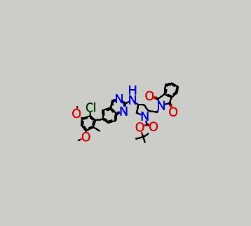 COc1cc(OC)c(Cl)c(-c2ccc3nc(NC4CC(CN5C(=O)c6ccccc6C5=O)N(C(=O)OC(C)(C)C)C4)ncc3c2)c1C